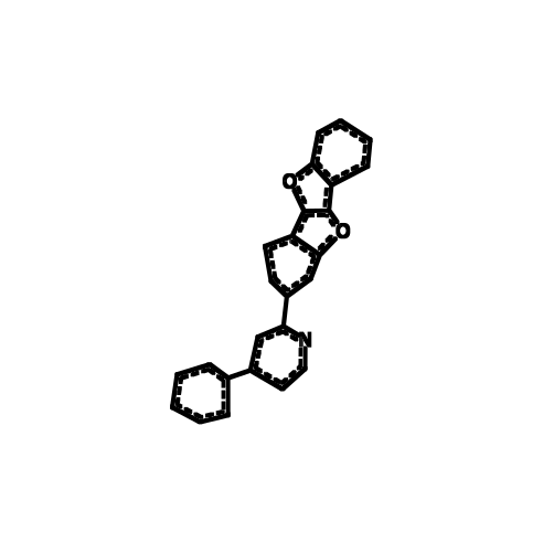 c1ccc(-c2ccnc(-c3ccc4c(c3)oc3c5ccccc5oc43)c2)cc1